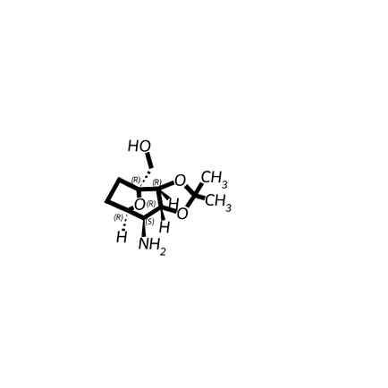 CC1(C)O[C@@H]2[C@@H](N)[C@H]3CC[C@](CO)(O3)[C@@H]2O1